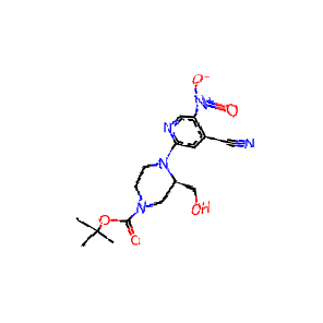 CC(C)(C)OC(=O)N1CCN(c2cc(C#N)c([N+](=O)[O-])cn2)[C@@H](CO)C1